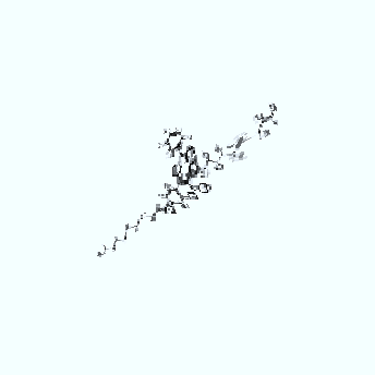 CCCCCCCCCCOc1ccc2c(OC(=O)c3ccccc3)c(OCCCCCCCCCC)c(=O)oc2c1